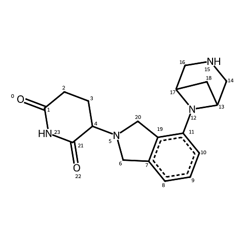 O=C1CCC(N2Cc3cccc(N4C5CNCC4C5)c3C2)C(=O)N1